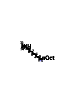 CCCCCCCC/C=C\CCCCCCCCNN(C)C